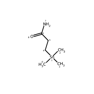 [CH3][Sn]([CH3])([CH3])[CH2]CC(N)=O